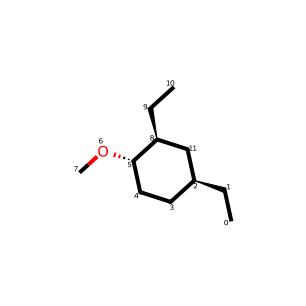 CC[C@H]1CC[C@H](OC)[C@@H](CC)C1